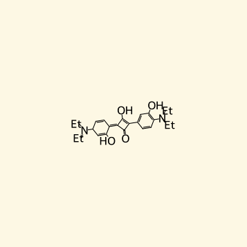 CCN(CC)c1ccc(C2=C(O)C(=C3C=CC(N(CC)CC)C=C3O)C2=O)cc1O